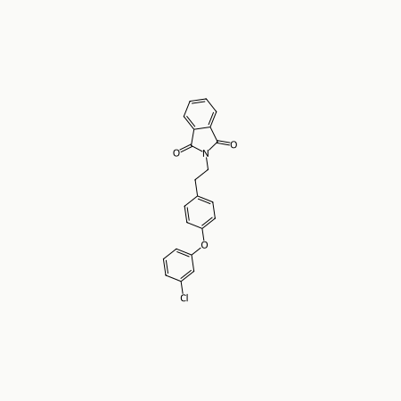 O=C1c2ccccc2C(=O)N1CCc1ccc(Oc2cccc(Cl)c2)cc1